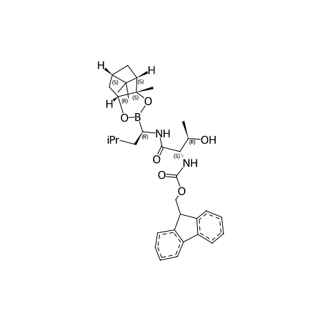 CC(C)C[C@H](NC(=O)[C@@H](NC(=O)OCC1c2ccccc2-c2ccccc21)[C@@H](C)O)B1O[C@@H]2C[C@@H]3C[C@@H](C3(C)C)[C@]2(C)O1